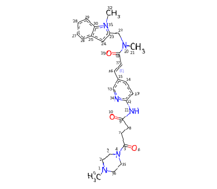 CN1CCN(C(=O)CCC(=O)Nc2ccc(/C=C/C(=O)N(C)Cc3cc4ccccc4n3C)cn2)CC1